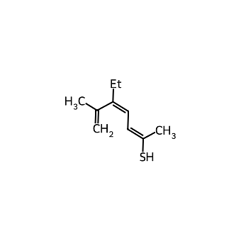 C=C(C)/C(=C\C=C(/C)S)CC